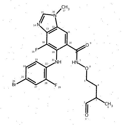 CC(C=O)CCONC(=O)c1cc2c(ncn2C)c(F)c1Nc1ccc(Br)cc1F